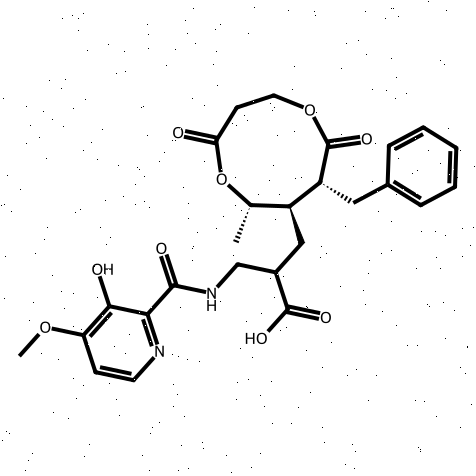 COc1ccnc(C(=O)NCC(C[C@H]2[C@H](C)OC(=O)CCOC(=O)[C@@H]2Cc2ccccc2)C(=O)O)c1O